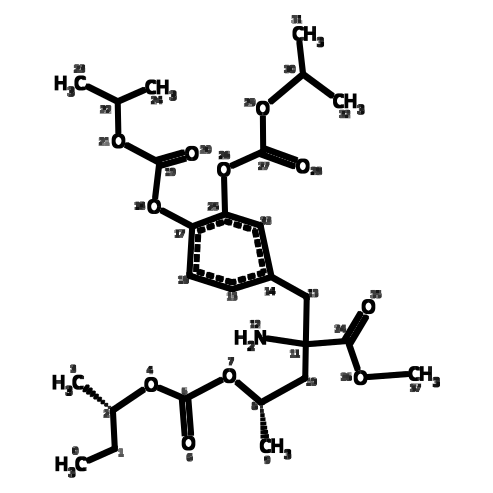 CC[C@H](C)OC(=O)O[C@@H](C)CC(N)(Cc1ccc(OC(=O)OC(C)C)c(OC(=O)OC(C)C)c1)C(=O)OC